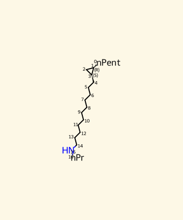 CCCCC[C@@H]1C[C@@H]1CCCCCCCCCCCNCCC